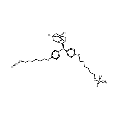 CS(=O)(=O)OCCCCCCOc1ccc(C(=C2C3C[C@H]4CC2C[C@@H](C3)C4)c2ccc(OCCCCCCN=[N+]=[N-])cc2)cc1